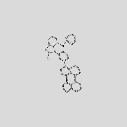 CCC1=NC2=CC=CC3C2N1c1cc(-c2ccc4c5cccc6cccc(c7cccc2c74)c65)ccc1N3c1ccccc1